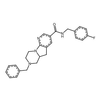 O=C(NCc1ccc(F)cc1)c1cnc2c(c1)CC1CN(Cc3ccccc3)CCN21